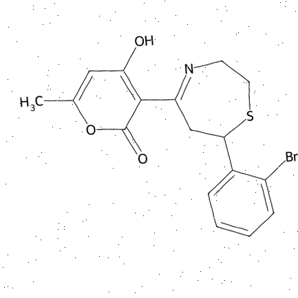 Cc1cc(O)c(C2=NCCSC(c3ccccc3Br)C2)c(=O)o1